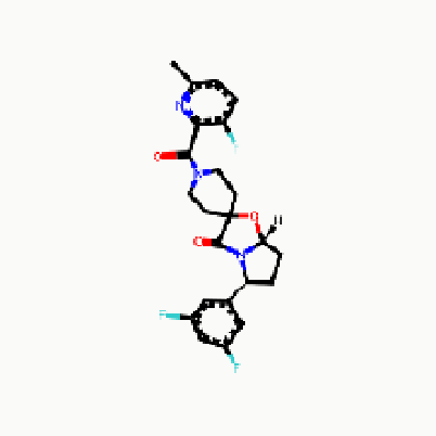 Cc1ccc(F)c(C(=O)N2CCC3(CC2)O[C@@H]2CC[C@@H](c4cc(F)cc(F)c4)N2C3=O)n1